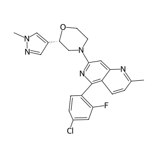 Cc1ccc2c(-c3ccc(Cl)cc3F)nc(N3CCO[C@@H](c4cnn(C)c4)C3)cc2n1